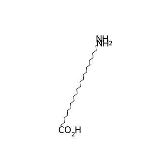 NNCCCCCCCCCCCCCCCCCCCCCCCC(=O)O